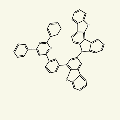 C1=CCCC(c2nc(-c3ccccc3)nc(-c3cccc(-c4cc(-n5c6ccccc6c6c7oc8ccccc8c7ccc65)cc5c4sc4ccccc45)c3)n2)=C1